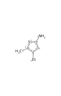 CCc1[c]c(N)sc1C